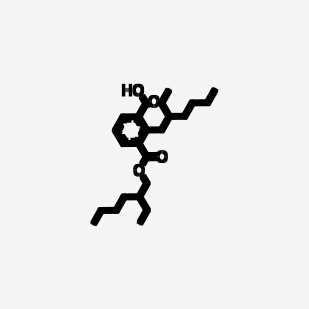 CCCCC(CC)COC(=O)c1cccc(C(=O)O)c1CC(CC)CCCC